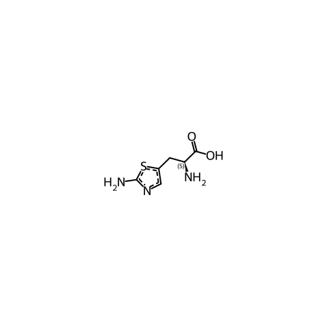 Nc1ncc(C[C@H](N)C(=O)O)s1